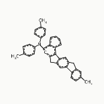 Cc1ccc(N(c2ccc(C)cc2)c2cc3c(c4ccccc24)-c2cc4c(cc2C3)-c2ccc(C)cc2C4)cc1